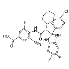 N#Cc1cc(C(=O)O)cc(F)c1NC(=O)C(C1CCCCC1)C1(c2ccc(Cl)cc2)Nc2cc(F)c(F)cc2N1